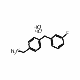 Cl.Cl.NCc1ccc(Cc2cccc(F)c2)cc1